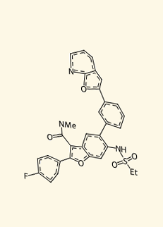 CCS(=O)(=O)Nc1cc2oc(-c3ccc(F)cc3)c(C(=O)NC)c2cc1-c1cccc(-c2cc3cccnc3o2)c1